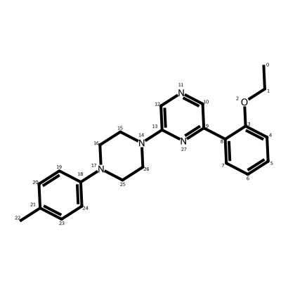 CCOc1ccccc1-c1cncc(N2CCN(c3ccc(C)cc3)CC2)n1